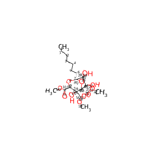 CCCCCCC[C@@]12O[C@H](C(=O)OC)[C@@](O)(C(=O)OC)[C@@](C(=O)OC)(O1)[C@H](O)[C@H]2O